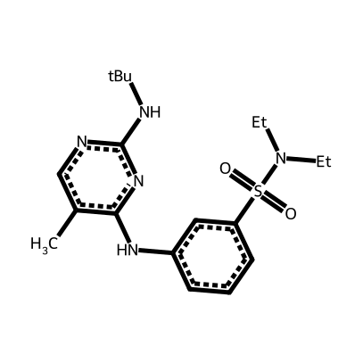 CCN(CC)S(=O)(=O)c1cccc(Nc2nc(NC(C)(C)C)ncc2C)c1